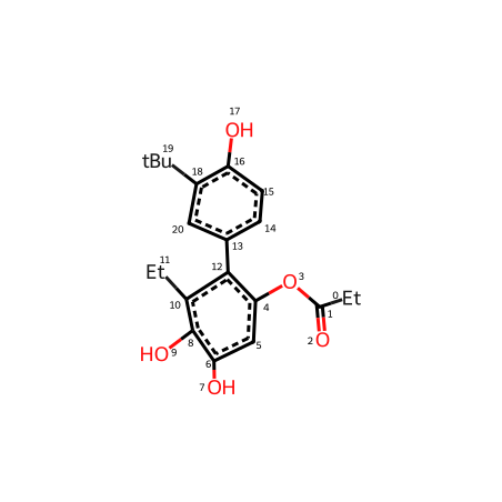 CCC(=O)Oc1cc(O)c(O)c(CC)c1-c1ccc(O)c(C(C)(C)C)c1